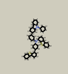 c1ccc(-n2c3ccccc3c3ccc(-c4cccc(N(c5ccc(-c6cccc7c6sc6ccccc67)cc5)c5cccc6c5sc5ccccc56)c4)cc32)cc1